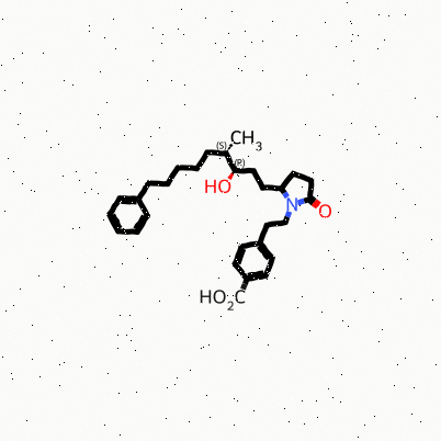 C[C@@H](CCCCCc1ccccc1)[C@H](O)CCC1CCC(=O)N1CCc1ccc(C(=O)O)cc1